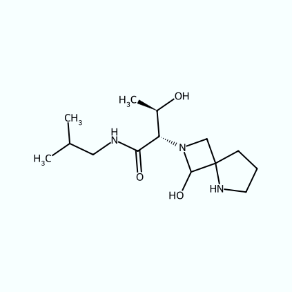 CC(C)CNC(=O)[C@H]([C@@H](C)O)N1CC2(CCCN2)C1O